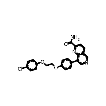 NC(=O)c1ccc2cncc(-c3ccc(OCCOc4ccc(Cl)cc4)cc3)c2n1